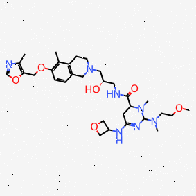 COCCN(C)C1N=C(NC2COC2)CC(C(=O)NC[C@H](O)CN2CCc3c(ccc(OCc4ocnc4C)c3C)C2)N1C